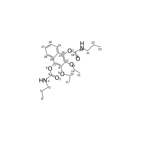 CCCNC(=O)Oc1c(OCC)c(OCC)c(OC(=O)NCCC)c2ccccc12